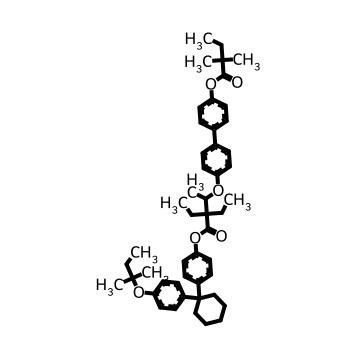 CCC(C)(C)Oc1ccc(C2(c3ccc(OC(=O)C(CC)(CC)C(C)Oc4ccc(-c5ccc(OC(=O)C(C)(C)CC)cc5)cc4)cc3)CCCCC2)cc1